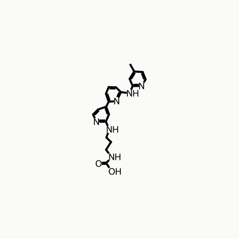 Cc1ccnc(Nc2cccc(-c3ccnc(NCCCNC(=O)O)c3)n2)c1